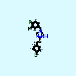 Fc1ccc(CN2CN=C(SCc3ccc(Br)cc3)NC2)cc1F